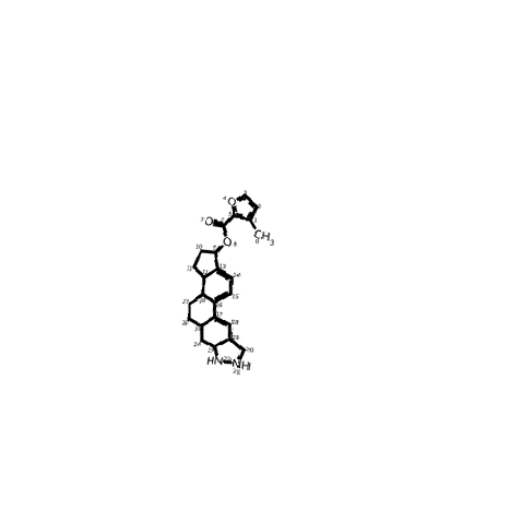 Cc1ccoc1C(=O)OC1CCC2C1=CC=C1C3=CC4CNNC4CC3CCC12